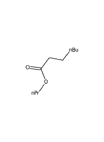 CCCCCCC(=O)OCCC